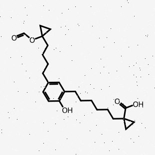 O=COC1(CCCCc2ccc(O)c(CCCCCCC3(C(=O)O)CC3)c2)CC1